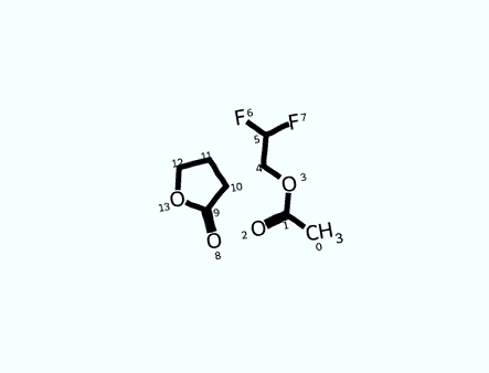 CC(=O)OCC(F)F.O=C1CCCO1